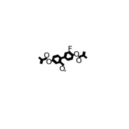 C=C(C)C(=O)Oc1ccc(-c2ccc(OC(=O)C(=C)C)c(F)c2)c(COC)c1